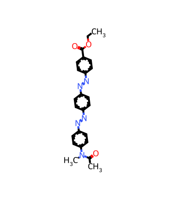 CCOC(=O)c1ccc(N=Nc2ccc(N=Nc3ccc(N(C)C(C)=O)cc3)cc2)cc1